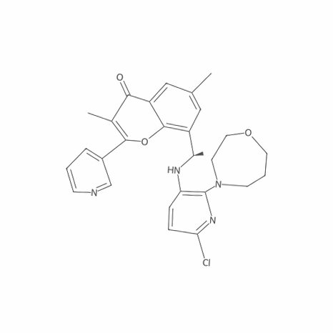 Cc1cc([C@@H](C)Nc2ccc(Cl)nc2N2CCCOCC2)c2oc(-c3cccnc3)c(C)c(=O)c2c1